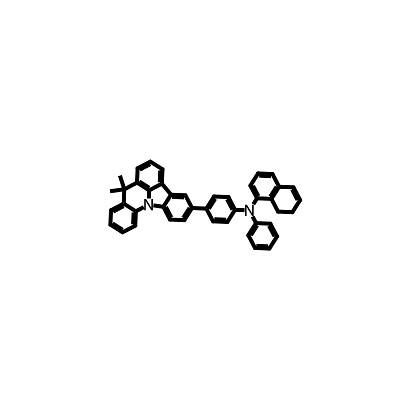 CC1(C)c2ccccc2-n2c3ccc(-c4ccc(N(c5ccccc5)c5cccc6c5CCC=C6)cc4)cc3c3cccc1c32